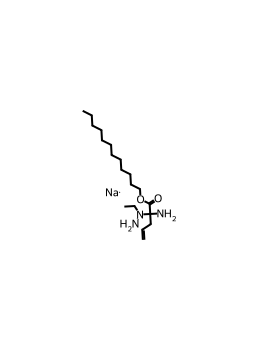 C=CCC(N)(C(=O)OCCCCCCCCCCCC)N(N)CC.[Na]